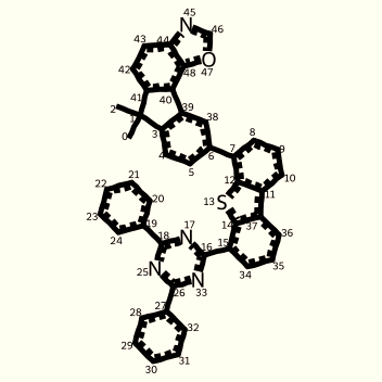 CC1(C)c2ccc(-c3cccc4c3sc3c(-c5nc(-c6ccccc6)nc(-c6ccccc6)n5)cccc34)cc2-c2c1ccc1ncoc21